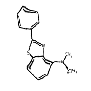 CN(C)c1cccc2sc(-c3ccccc3)nc12